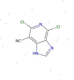 N#Cc1c(Cl)nc(Cl)c2nc[nH]c12